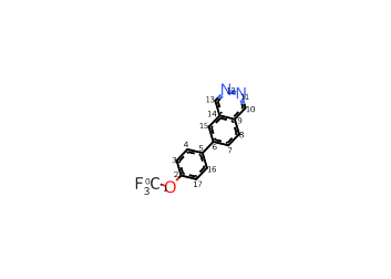 FC(F)(F)Oc1ccc(-c2ccc3cnncc3c2)cc1